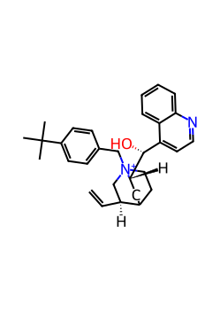 C=C[C@H]1C[N+]2(Cc3ccc(C(C)(C)C)cc3)CCC1C[C@H]2[C@H](O)c1ccnc2ccccc12